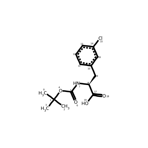 CC(C)(C)OC(=O)N[C@@H](Cc1cccc(Cl)c1)C(=O)O